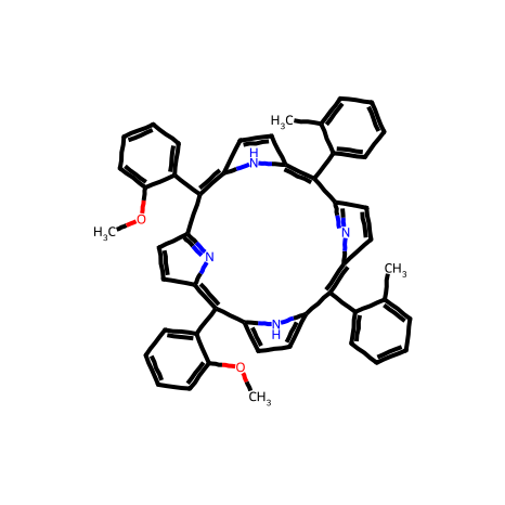 COc1ccccc1-c1c2nc(c(-c3ccccc3OC)c3ccc([nH]3)c(-c3ccccc3C)c3nc(c(-c4ccccc4C)c4ccc1[nH]4)C=C3)C=C2